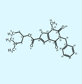 CCC(CN(C)C)OC(=O)c1cc2c(=O)n(Cc3ccccc3)c(=O)n(C)c2s1